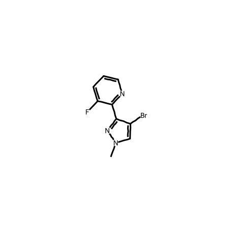 Cn1cc(Br)c(-c2ncccc2F)n1